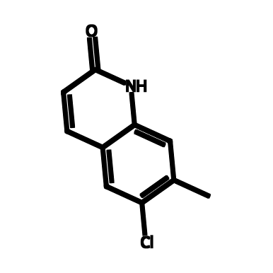 Cc1cc2[nH]c(=O)ccc2cc1Cl